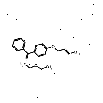 CC=CCOc1ccc(C(=O)c2ccccc2)cc1.CCOCC